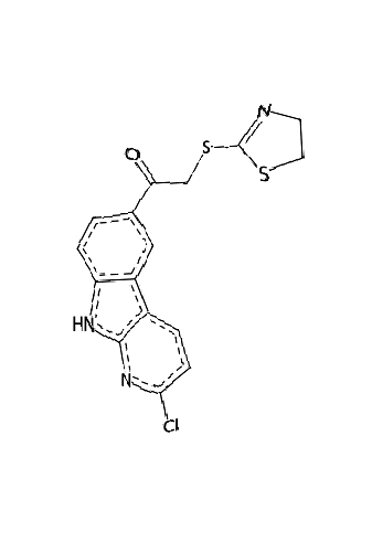 O=C(CSC1=NCCS1)c1ccc2[nH]c3nc(Cl)ccc3c2c1